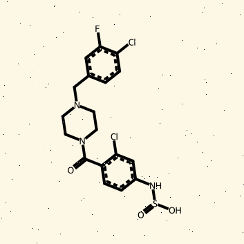 O=C(c1ccc(NS(=O)O)cc1Cl)N1CCN(Cc2ccc(Cl)c(F)c2)CC1